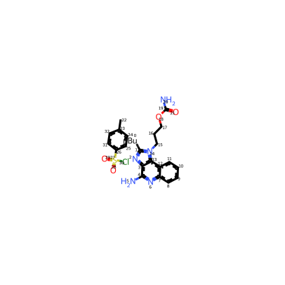 CCCCc1nc2c(N)nc3ccccc3c2n1CCCOC(N)=O.Cc1ccc(S(=O)(=O)Cl)cc1